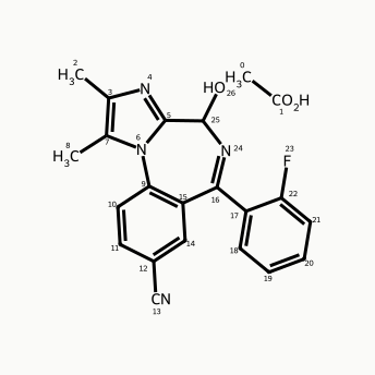 CC(=O)O.Cc1nc2n(c1C)-c1ccc(C#N)cc1C(c1ccccc1F)=NC2O